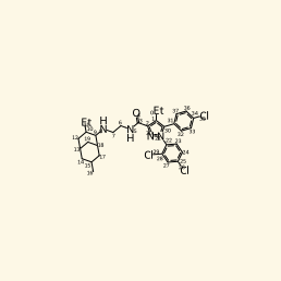 CCc1c(C(=O)NCCNC2C(CC)CC3CC(C)CC2C3)nn(-c2ccc(Cl)cc2Cl)c1-c1ccc(Cl)cc1